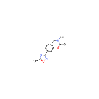 CCC(=O)N(Cc1ccc(-c2noc(C(F)(F)F)n2)cc1)C(C)CC